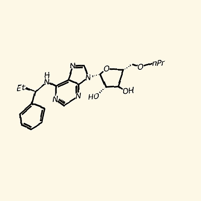 CCCOC[C@H]1O[C@@H](n2cnc3c(N[C@H](CC)c4ccccc4)ncnc32)[C@@H](O)C1O